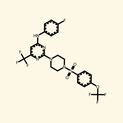 O=S(=O)(c1ccc(OC(F)(F)F)cc1)N1CCN(c2nc(Nc3ccc(F)cc3)cc(C(F)(F)F)n2)CC1